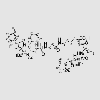 CC(=O)N(CCC(N)C(=O)NCCC(=O)NCCCCC(NC(=O)C(C)NC(=O)[C@@H](NC(=O)CN1C(=O)C=CC1=O)C(C)C)C(=O)O)C(c1cc(-c2cc(F)ccc2F)cn1Cc1ccccc1)C(C)(C)C